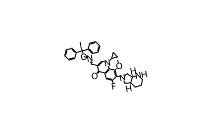 COc1c(N2C[C@@H]3CCCN[C@@H]3C2)c(F)cc2c(=O)c(/C=N/OC(I)(c3ccccc3)c3ccccc3)cn(C3CC3)c12